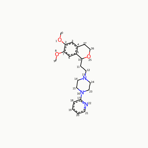 COc1cc2c(cc1OC)C(CCN1CCN(c3ccccn3)CC1)OCC2